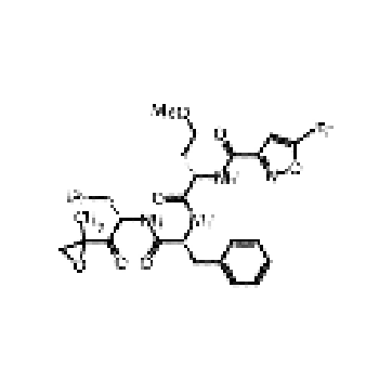 COCC[C@H](NC(=O)c1cc(C(C)C)on1)C(=O)N[C@@H](Cc1ccccc1)C(=O)N[C@@H](CC(C)C)C(=O)C1(C)CO1